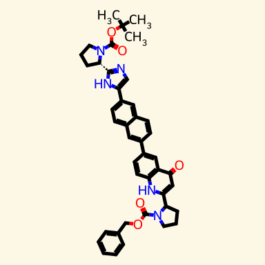 CC(C)(C)OC(=O)N1CCC[C@H]1c1ncc(-c2ccc3cc(-c4ccc5[nH]c(C6CCCN6C(=O)OCc6ccccc6)cc(=O)c5c4)ccc3c2)[nH]1